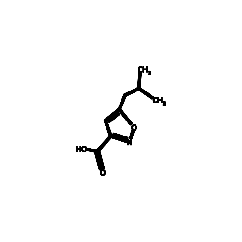 CC(C)Cc1cc(C(=O)O)no1